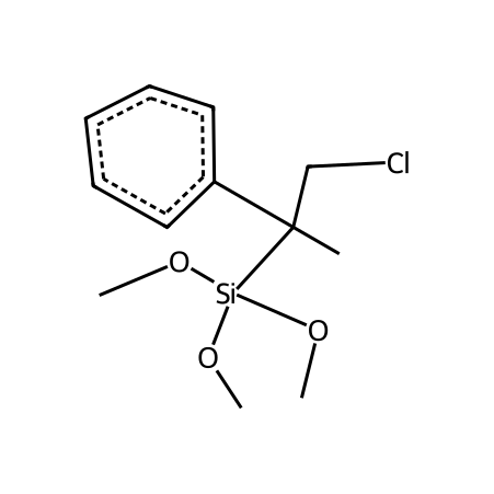 CO[Si](OC)(OC)C(C)(CCl)c1ccccc1